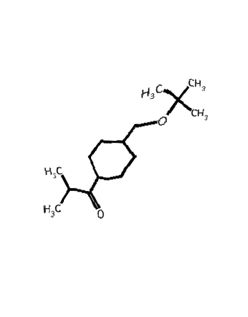 CC(C)C(=O)C1CCC(COC(C)(C)C)CC1